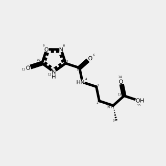 C[C@H](CCNC(=O)c1noc(=O)[nH]1)C(=O)O